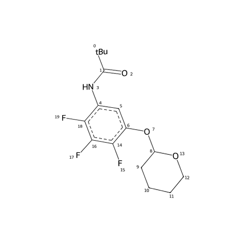 CC(C)(C)C(=O)Nc1cc(OC2CCCCO2)c(F)c(F)c1F